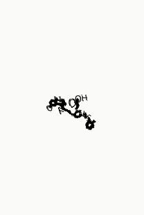 COc1ccc2nccc([C@H](F)CC[C@@H]3CCN(CCSc4ccccc4C)C[C@H]3CCC(=O)O)c2c1